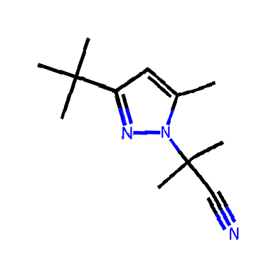 Cc1cc(C(C)(C)C)nn1C(C)(C)C#N